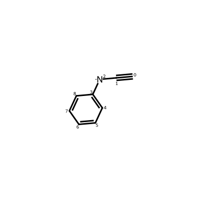 C#C[N]c1ccccc1